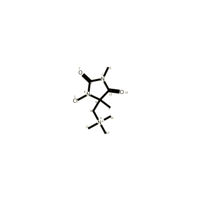 CN1C(=O)N(Cl)C(C)(C[N+](C)(C)C)C1=O